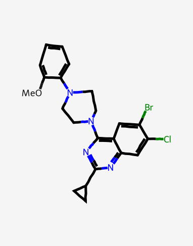 COc1ccccc1N1CCN(c2nc(C3CC3)nc3cc(Cl)c(Br)cc23)CC1